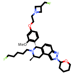 COc1cc(OCCN2CC(CF)C2)ccc1[C@@H]1c2ccc3nn(C4CCCCO4)cc3c2C[C@@H](C)N1CCCCCF